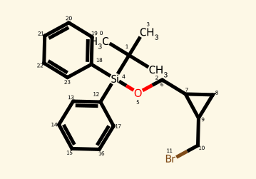 CC(C)(C)[Si](OCC1CC1CBr)(c1ccccc1)c1ccccc1